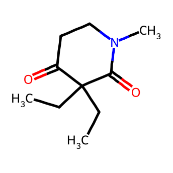 CCC1(CC)C(=O)CCN(C)C1=O